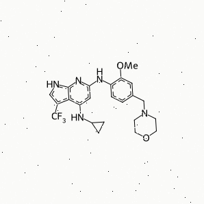 COc1cc(CN2CCOCC2)ccc1Nc1cc(NC2CC2)c2c(C(F)(F)F)c[nH]c2n1